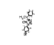 CC(c1ccccc1)n1nnn(-c2ccc(Br)cc2)c1=O